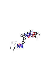 C=C[C@H](NC(=O)OC)C(=O)N1CCC[C@H]1c1nc2c3ccccc3c3cc(-c4ccc(-c5cnc(CN(CCC)C(=O)CCC)[nH]5)cc4)ccc3c2[nH]1